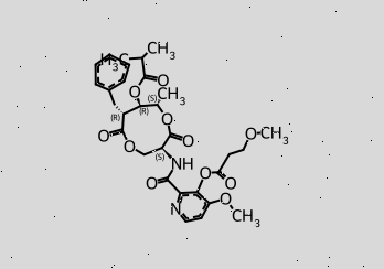 COCCC(=O)Oc1c(OC)ccnc1C(=O)N[C@H]1COC(=O)[C@H](Cc2ccccc2)[C@@H](OC(=O)C(C)C)[C@H](C)OC1=O